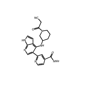 CNC(=O)c1ccnc(-c2cnc3[nH]ccc3c2NC2CCCN(C(=O)CC#N)C2)c1